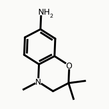 CN1CC(C)(C)Oc2cc(N)ccc21